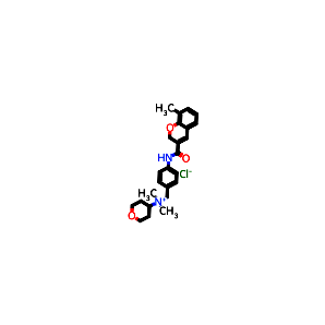 Cc1cccc2c1OCC(C(=O)Nc1ccc(C[N+](C)(C)C3CCOCC3)cc1)=C2.[Cl-]